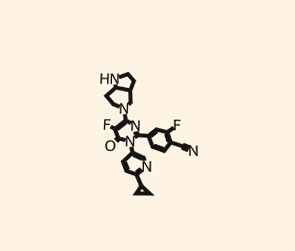 N#Cc1ccc(-c2nc(N3CCC4NCCC4C3)c(F)c(=O)n2-c2ccc(C3CC3)nc2)cc1F